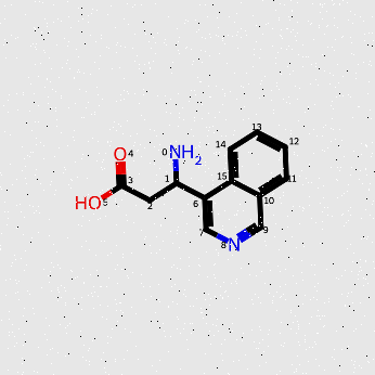 NC(CC(=O)O)c1cncc2ccccc12